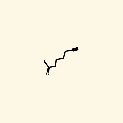 C#CCCCCC(=O)I